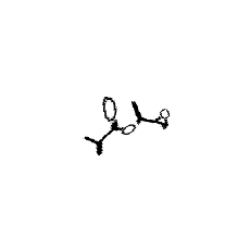 C=C(C)C(=O)OC(=C)C1CO1